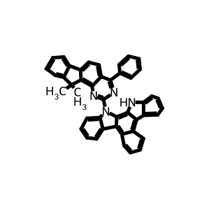 CC1(C)c2ccccc2-c2ccc3c(-c4ccccc4)nc(-n4c5ccccc5c5c6ccccc6c6c7ccccc7[nH]c6c54)nc3c21